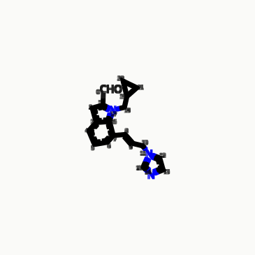 O=Cc1cc2cccc(C=CCn3ccnc3)c2n1CC1CC1